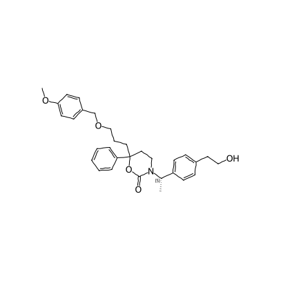 COc1ccc(COCCCC2(c3ccccc3)CCN([C@@H](C)c3ccc(CCO)cc3)C(=O)O2)cc1